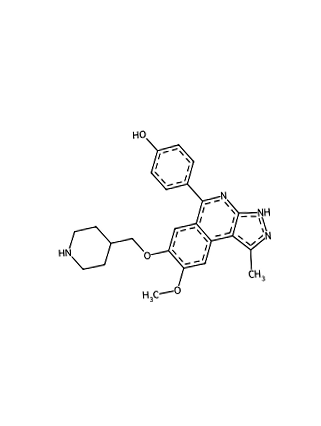 COc1cc2c(cc1OCC1CCNCC1)c(-c1ccc(O)cc1)nc1[nH]nc(C)c12